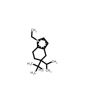 CCn1ccc2c1CCC(C(C)C)(C(C)(C)C)C2